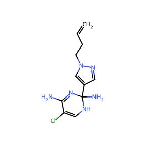 C=CCCn1cc(C2(N)N=C(N)C(Cl)=CN2)cn1